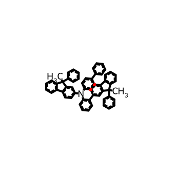 CC1(c2ccccc2)c2ccccc2-c2ccc(-c3ccccc3N(c3ccc(-c4ccccc4)cc3)c3ccc4c(c3)C(C)(c3ccccc3)c3ccccc3-4)cc21